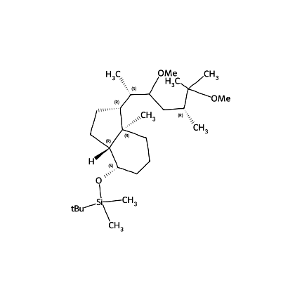 COC(C[C@@H](C)C(C)(C)OC)[C@@H](C)[C@H]1CC[C@H]2[C@@H](O[Si](C)(C)C(C)(C)C)CCC[C@]12C